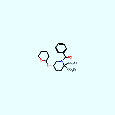 CCOC(=O)C1(C(=O)OCC)CC[C@H](OC2CCCCO2)CN1C(=O)c1ccccc1